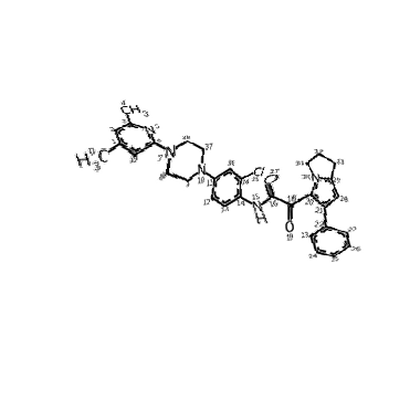 Cc1cc(C)nc(N2CCN(c3ccc(NC(=O)C(=O)c4c(-c5ccccc5)cc5n4CCC5)c(Cl)c3)CC2)c1